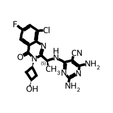 C[C@H](Nc1nc(N)nc(N)c1C#N)c1nc2c(Cl)cc(F)cc2c(=O)n1[C@H]1C[C@@H](O)C1